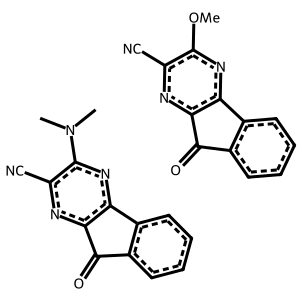 CN(C)c1nc2c(nc1C#N)C(=O)c1ccccc1-2.COc1nc2c(nc1C#N)C(=O)c1ccccc1-2